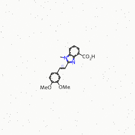 COc1ccc(/C=C/c2nc3c(C(=O)O)cccc3n2C)cc1OC